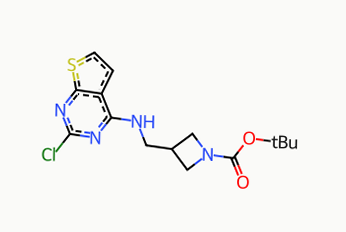 CC(C)(C)OC(=O)N1CC(CNc2nc(Cl)nc3sccc23)C1